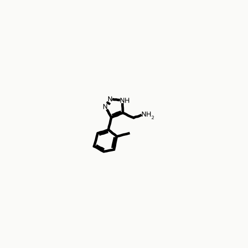 Cc1ccccc1-c1nn[nH]c1CN